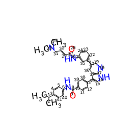 CC(C)c1ccc(NC(=O)c2ccc(-c3c[nH]c4ncc(-c5cccc(NC(=O)C=CCN(C)C)c5)cc34)cc2)cc1